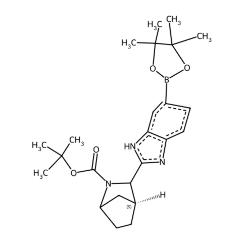 CC(C)(C)OC(=O)N1C2CC[C@@H](C2)C1c1nc2ccc(B3OC(C)(C)C(C)(C)O3)cc2[nH]1